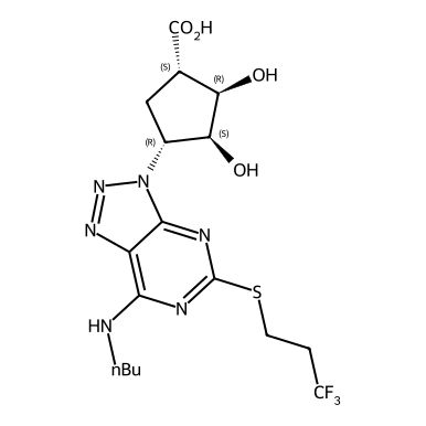 CCCCNc1nc(SCCC(F)(F)F)nc2c1nnn2[C@@H]1C[C@H](C(=O)O)[C@@H](O)[C@H]1O